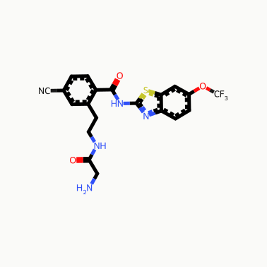 N#Cc1ccc(C(=O)Nc2nc3ccc(OC(F)(F)F)cc3s2)c(CCNC(=O)CN)c1